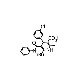 CCCCN(C(=O)C1=C(C)NC(C)=C(C(=O)O)C1c1cccc(Cl)c1)c1ccccc1